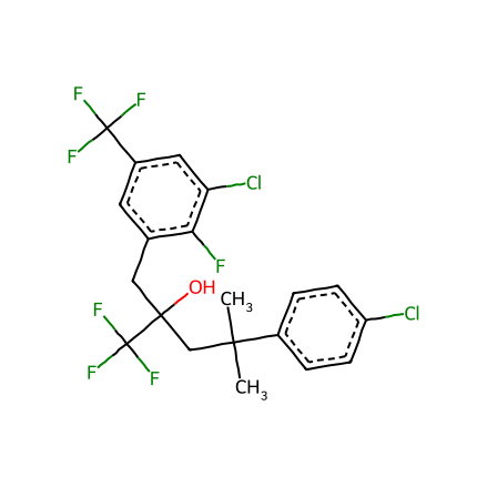 CC(C)(CC(O)(Cc1cc(C(F)(F)F)cc(Cl)c1F)C(F)(F)F)c1ccc(Cl)cc1